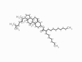 CCCCCCCCCC(CCCCCCC)C(=O)OC1CC[C@@]2(C)C(=CCC3C2CC[C@@]2(C)C3CC[C@@H]2[C@H](C)CCCC(C)C)C1